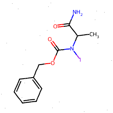 CC(C(N)=O)N(I)C(=O)OCc1ccccc1